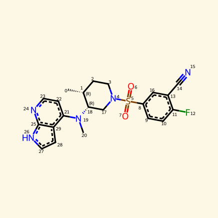 C[C@@H]1CCN(S(=O)(=O)c2ccc(F)c(C#N)c2)C[C@@H]1N(C)c1ccnc2[nH]ccc12